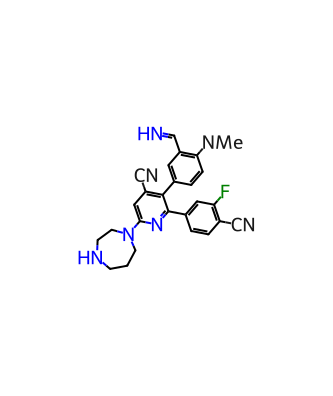 CNc1ccc(-c2c(C#N)cc(N3CCCNCC3)nc2-c2ccc(C#N)c(F)c2)cc1C=N